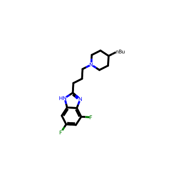 CCCCC1CCN(CCCc2nc3c(F)cc(F)cc3[nH]2)CC1